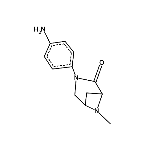 CN1C2CC1C(=O)N(c1ccc(N)cc1)C2